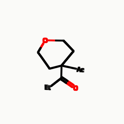 CCC(=O)C1(C(C)=O)CCOCC1